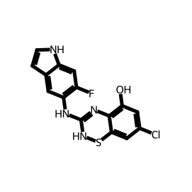 Oc1cc(Cl)cc2c1N=C(Nc1cc3cc[nH]c3cc1F)NS2